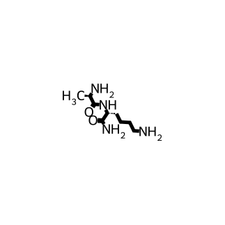 C[C@@H](N)C(=O)N[C@H](CCCCN)C(N)=O